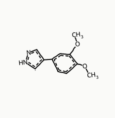 COc1ccc(-c2[c][nH]nc2)cc1OC